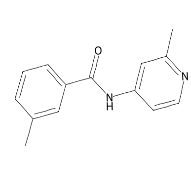 Cc1cccc(C(=O)Nc2ccnc(C)c2)c1